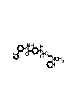 CN(CCOC(=O)Nc1ccc(C(=O)N(N)c2cccc(-c3cccs3)c2)cc1)c1ccccn1